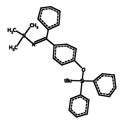 CC(C)(C)[Si](Oc1ccc(C(=N[Si](C)(C)C)c2ccccc2)cc1)(c1ccccc1)c1ccccc1